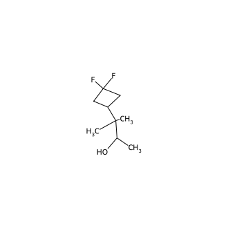 CC(O)C(C)(C)C1CC(F)(F)C1